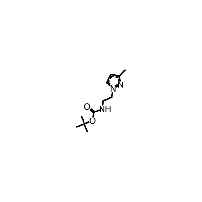 Cc1ccn(CCNC(=O)OC(C)(C)C)n1